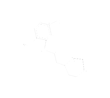 COc1ccc(C(F)(F)F)cc1OCCC1CCCCN1